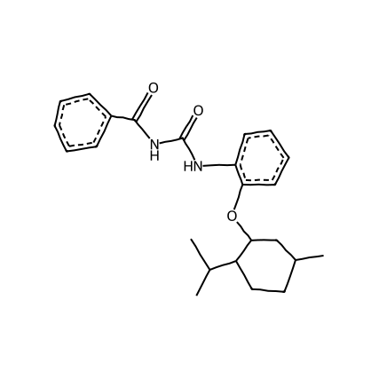 CC1CCC(C(C)C)C(Oc2ccccc2NC(=O)NC(=O)c2ccccc2)C1